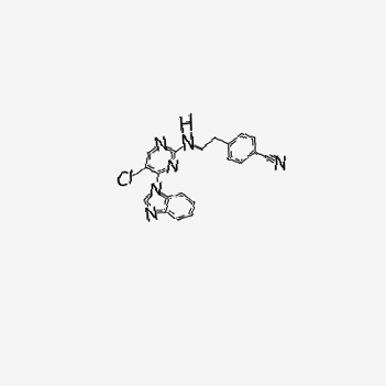 N#Cc1ccc(CCNc2ncc(Cl)c(-n3cnc4ccccc43)n2)cc1